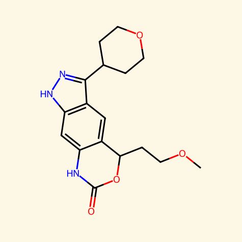 COCCC1OC(=O)Nc2cc3[nH]nc(C4CCOCC4)c3cc21